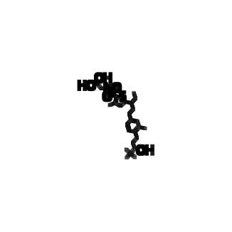 CCC(CCc1ccc(CCC(O)C(C)(C)C)c(C)c1)c1cc(C)c(S(=O)(=O)NCC(=O)O)s1